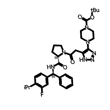 CC(C)c1ccc([C@@H](NC(=O)[C@@H]2CCCN2C(=O)Cc2[nH]nnc2N2CCN(C(=O)OC(C)(C)C)CC2)c2ccccc2)cc1F